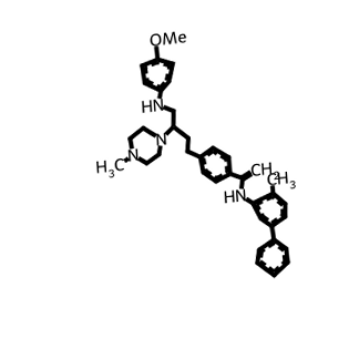 C=C(Nc1cc(-c2ccccc2)ccc1C)c1ccc(CCC(CNc2ccc(OC)cc2)N2CCN(C)CC2)cc1